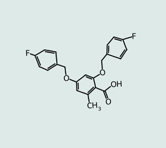 Cc1cc(OCc2ccc(F)cc2)cc(OCc2ccc(F)cc2)c1C(=O)O